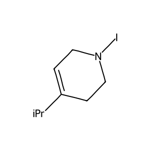 CC(C)C1=CCN(I)CC1